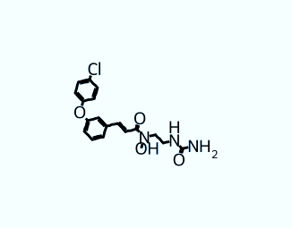 NC(=O)NCCN(O)C(=O)C=Cc1cccc(Oc2ccc(Cl)cc2)c1